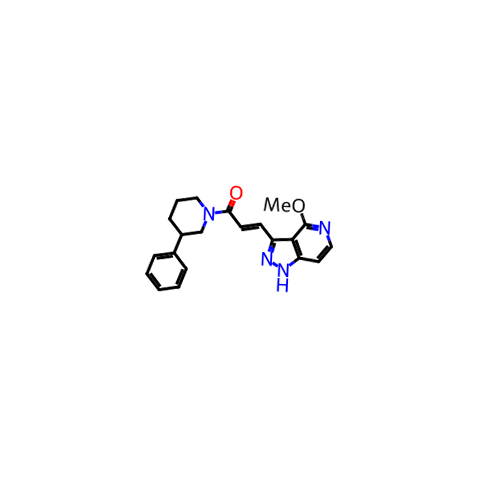 COc1nccc2[nH]nc(C=CC(=O)N3CCCC(c4ccccc4)C3)c12